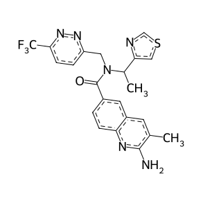 Cc1cc2cc(C(=O)N(Cc3ccc(C(F)(F)F)nn3)C(C)c3cscn3)ccc2nc1N